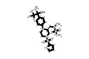 CN(C[C@H]1CN(S(=O)(=O)c2cccs2)CCN1c1ccc(C(C)(O)C(F)(F)F)cc1)S(C)(=O)=O